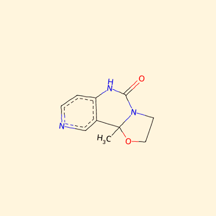 CC12OCCN1C(=O)Nc1ccncc12